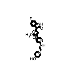 CC1(C)O/C(=C2/C(=O)Nc3cc(F)ccc32)C=C1c1ccc(NCCN2CCC(O)CC2)nc1